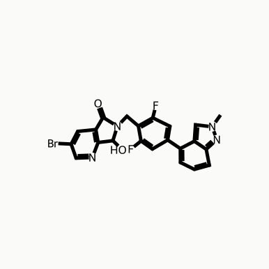 Cn1cc2c(-c3cc(F)c(CN4C(=O)c5cc(Br)cnc5C4O)c(F)c3)cccc2n1